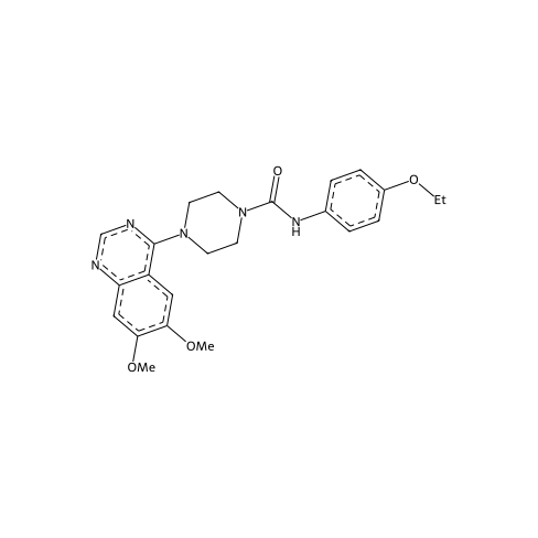 CCOc1ccc(NC(=O)N2CCN(c3ncnc4cc(OC)c(OC)cc34)CC2)cc1